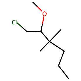 CCCC(C)(C)C(CCl)OC